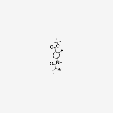 CCC(Br)C(=O)Nc1ccc(C(=O)OC(C)(C)C)c(F)c1